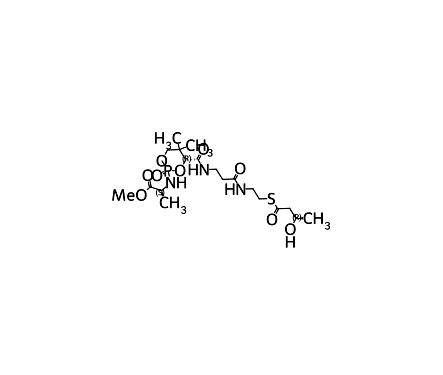 COC(=O)[C@H](C)NP1(=O)OCC(C)(C)[C@H](C(=O)NCCC(=O)NCCSC(=O)C[C@@H](C)O)O1